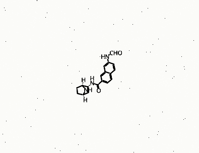 O=CNc1ccc2ccc(C(=O)N[C@@H]3C[C@H]4CC[C@@H]3N4)cc2c1